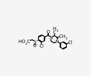 CC1[C@@H](C)N(c2cccc(Cl)c2)CCN1C(=O)c1ccc([S+]([O-])CC(=O)O)c(Cl)c1